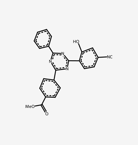 [C-]#[N+]c1ccc(-c2nc(-c3ccccc3)nc(-c3ccc(C(=O)OC)cc3)n2)c(O)c1